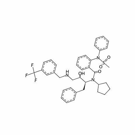 CS(=O)(=O)N(c1ccccc1)c1ccccc1C(=O)N(C1CCCC1)[C@@H](Cc1ccccc1)[C@H](O)CNCc1cccc(C(F)(F)F)c1